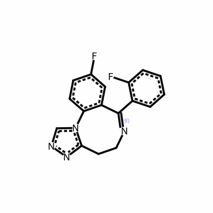 Fc1ccc2c(c1)/C(c1ccccc1F)=N\CCc1nncn1-2